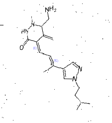 C=C1/C(=C\C=C(/C)c2cnn(CCC(C)C)c2)C(=O)NN(C)C1CN